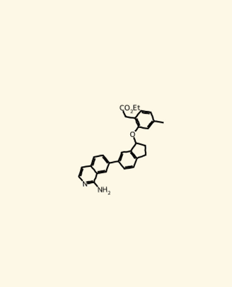 CCOC(=O)Cc1ccc(C)cc1OC1CCc2ccc(-c3ccc4ccnc(N)c4c3)cc21